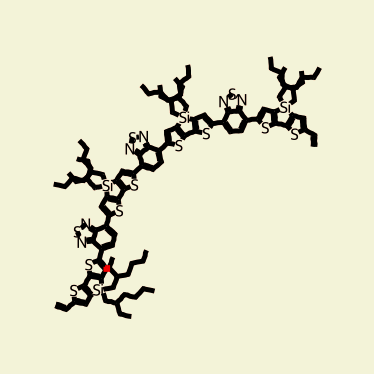 C=Cc1cc2c(s1)-c1sc(-c3ccc(-c4cc5c(s4)-c4sc(-c6ccc(-c7cc8c(s7)-c7sc(-c9ccc(-c%10cc%11c(s%10)-c%10sc(C=C)cc%10[Si]%11(CC(CC)CCCC)CC(CC)CCCC)c%10nsnc9%10)cc7[Si]8(CC(CC)CCCC)CC(CC)CCCC)c7nsnc67)cc4[Si]5(CC(CC)CCCC)CC(CC)CCCC)c4nsnc34)cc1[Si]2(CC(CC)CCCC)CC(CC)CCCC